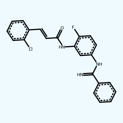 N=C(Nc1ccc(F)c(NC(=O)/C=C/c2ccccc2Cl)c1)c1ccccc1